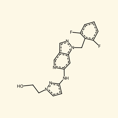 OCCn1ccc(Nc2cc3c(cn2)cnn3Cc2c(F)cccc2F)n1